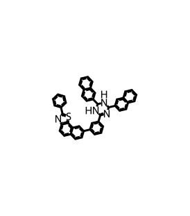 c1ccc(-c2nc3ccc4ccc(-c5cccc(C6=NC(c7ccc8ccccc8c7)NC(c7ccc8ccccc8c7)N6)c5)cc4c3s2)cc1